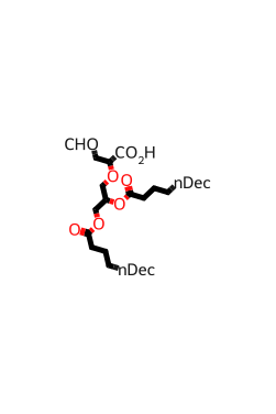 CCCCCCCCCCCCCC(=O)OCC(COC(CC=O)C(=O)O)OC(=O)CCCCCCCCCCCCC